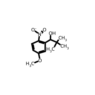 COc1ccc([N+](=O)[O-])c(C(O)C(C)(C)C)c1